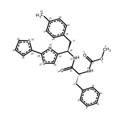 COC(=O)N[C@H](Cc1ccccc1)C(=O)N[C@H](Cc1ccc(C)cc1)c1csc(-c2cccs2)n1